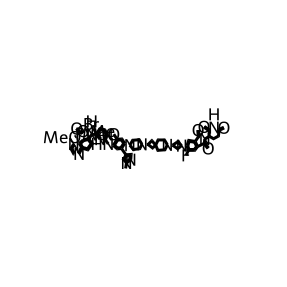 COc1cc(N2CCN(C3CC4(CCN(C5CN(c6cc7c(cc6F)C(=O)N(C6CCC(=O)NC6=O)C7=O)C5)CC4)C3)CC2)c(-c2cnn(C)c2)cc1Nc1ncc(Br)c(Nc2ccc3nccnc3c2P(=O)(OC)OC)n1